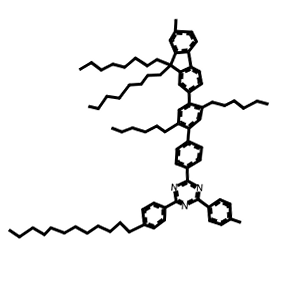 CCCCCCCCCCCCc1ccc(-c2nc(-c3ccc(C)cc3)nc(-c3ccc(-c4cc(CCCCCC)c(-c5ccc6c(c5)C(CCCCCCCC)(CCCCCCCC)c5cc(C)ccc5-6)cc4CCCCCC)cc3)n2)cc1